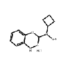 CCCN(C1CCC1)C1Oc2ccccc2NS1.Cl